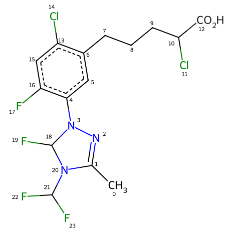 CC1=NN(c2cc(CCCC(Cl)C(=O)O)c(Cl)cc2F)C(F)N1C(F)F